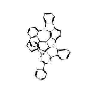 c1ccc(-c2nc(-c3ccccc3)nc(-c3ccccc3-n3c4ccc5ccc6cccc7c6c5c4c4c3ccc3c5ccccc5n7c34)n2)cc1